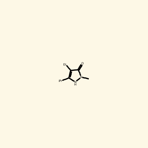 CCc1c(C(C)C)[nH]n(C)c1=O